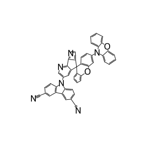 N#Cc1ccc2c(c1)c1cc(C#N)ccc1n2-c1cnc2c(c1)C1(c3ccccc3Oc3cc(N4c5ccccc5Oc5ccccc54)ccc31)c1cccnc1-2